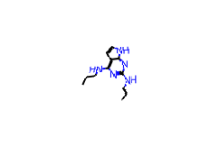 CCCNc1nc(NCCC)c2cc[nH]c2n1